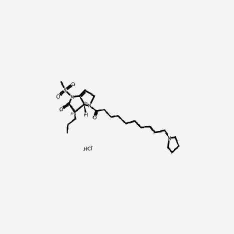 CCC[C@H]1C(=O)N(S(C)(=O)=O)C2=CCN(C(=O)CCCCCCCCCN3CCCC3)[C@@H]21.Cl